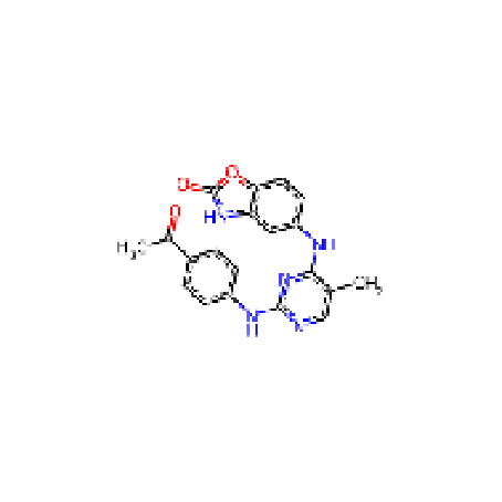 CC(=O)c1ccc(Nc2ncc(C)c(Nc3ccc4oc(=O)[nH]c4c3)n2)cc1